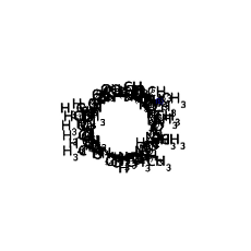 C/C=C/C[C@@H](C)[C@@H](O)[C@H]1C(=O)N(C)[C@@H](CC)C(=O)N(C)C(C(=O)O)C(=O)N(C)[C@@H](CC(C)(C)O)C(=O)N[C@@H](C(C)C)C(=O)N(C)[C@@H](CC(C)C)C(=O)N[C@@H](C)C(=O)N[C@H](C)C(=O)N(C)[C@@H](CC(C)C)C(=O)N(C)[C@@H](CC(C)C)C(=O)N(C)[C@@H](C(C)C)C(=O)N1C